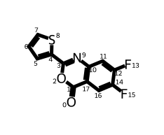 O=c1oc(-c2cccs2)nc2cc(F)c(F)cc12